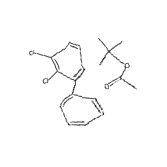 CC(=O)OC(C)(C)C.Clc1cccc(-c2ccccc2)c1Cl